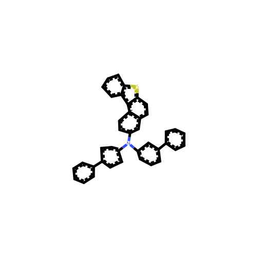 c1ccc(-c2ccc(N(c3cccc(-c4ccccc4)c3)c3ccc4c(ccc5sc6ccccc6c54)c3)cc2)cc1